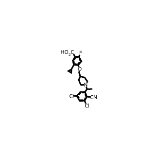 CC(c1cc(Cl)cc(Cl)c1C#N)N1CCC(COc2cc(F)c(C(=O)O)cc2C2CC2)CC1